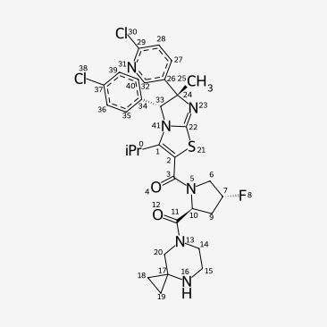 CC(C)C1=C(C(=O)N2C[C@H](F)C[C@H]2C(=O)N2CCNC3(CC3)C2)SC2=N[C@@](C)(c3ccc(Cl)nc3)[C@@H](c3ccc(Cl)cc3)N21